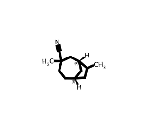 CC1C[C@@H]2CCC(C)(C#N)C[C@H]1C2